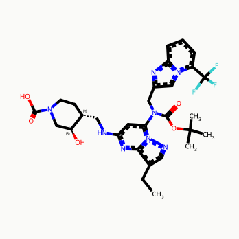 CCc1cnn2c(N(Cc3cn4c(C(F)(F)F)cccc4n3)C(=O)OC(C)(C)C)cc(NC[C@H]3CCN(C(=O)O)C[C@@H]3O)nc12